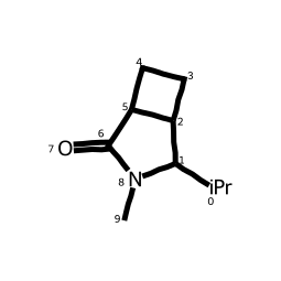 CC(C)C1C2CCC2C(=O)N1C